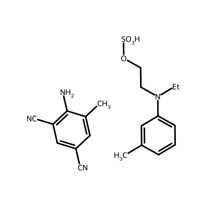 CCN(CCOS(=O)(=O)O)c1cccc(C)c1.Cc1cc(C#N)cc(C#N)c1N